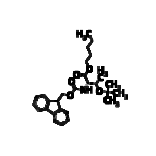 CCCCCOC(=O)[C@@H](NC(=O)OCC1c2ccccc2-c2ccccc21)C(C)OC(C)(C)C